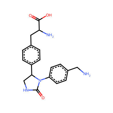 NCc1ccc(N2C(=O)NCC2c2ccc(CC(N)C(=O)O)cc2)cc1